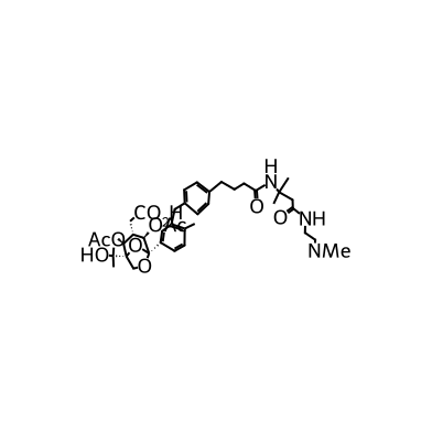 CNCCNC(=O)CC(C)(C)NC(=O)CCCc1ccc(Cc2cc([C@]34OC[C@](C(C)(C)O)(O3)[C@@H](OC(C)=O)[C@H](CC(=O)O)[C@H]4OC(C)=O)ccc2C)cc1